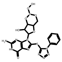 Nc1nc2c(nc(Sc3nnnn3-c3ccccc3)n2C2OC3COP(OO)OC3C2O)c(=O)[nH]1